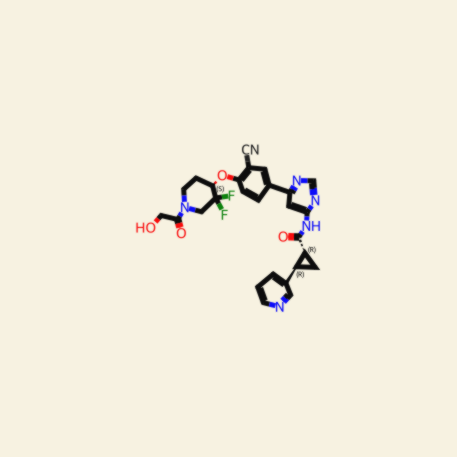 N#Cc1cc(-c2cc(NC(=O)[C@@H]3C[C@H]3c3cccnc3)ncn2)ccc1O[C@H]1CCN(C(=O)CO)CC1(F)F